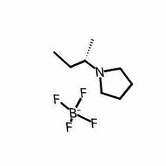 CC[C@H](C)N1CCCC1.F[B-](F)(F)F